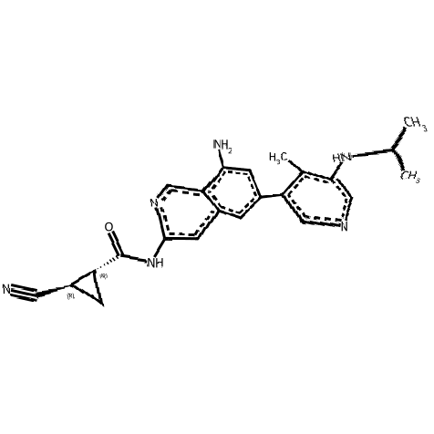 Cc1c(NC(C)C)cncc1-c1cc(N)c2cnc(NC(=O)[C@@H]3C[C@H]3C#N)cc2c1